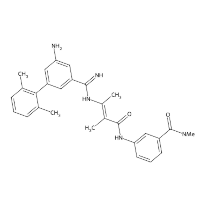 CNC(=O)c1cccc(NC(=O)/C(C)=C(\C)NC(=N)c2cc(N)cc(-c3c(C)cccc3C)c2)c1